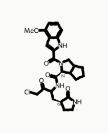 COc1cccc2[nH]c(C(=O)N3CC4CCCC4[C@H]3C(=O)NC(C[C@@H]3CCNC3=O)C(=O)CCl)cc12